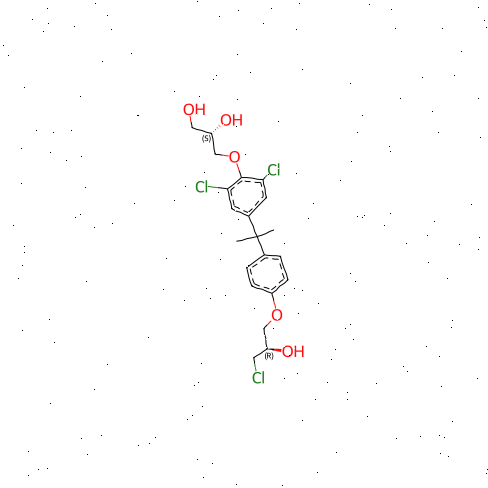 CC(C)(c1ccc(OC[C@@H](O)CCl)cc1)c1cc(Cl)c(OC[C@@H](O)CO)c(Cl)c1